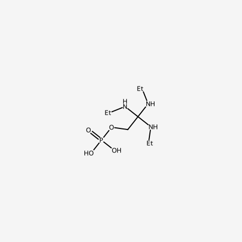 CCNC(COP(=O)(O)O)(NCC)NCC